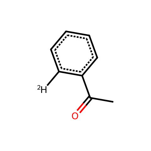 [2H]c1ccccc1C(C)=O